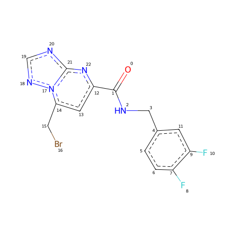 O=C(NCc1ccc(F)c(F)c1)c1cc(CBr)n2ncnc2n1